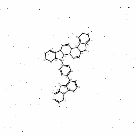 C1=CC2C(C=CC3C4=CCCCC4N(c4ccc(-c5cccc6c5oc5ccccc56)cc4)C32)C2C3=CCCC=C3OC12